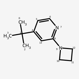 CC(C)(C)c1ccnc(N2CCC2)c1